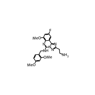 COc1ccc(CNc2nc3c(OC)cc(F)cc3c3nc(CCN)nn23)c(OC)c1